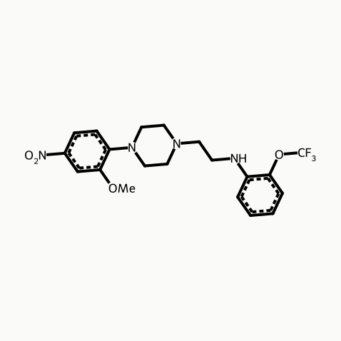 COc1cc([N+](=O)[O-])ccc1N1CCN(CCNc2ccccc2OC(F)(F)F)CC1